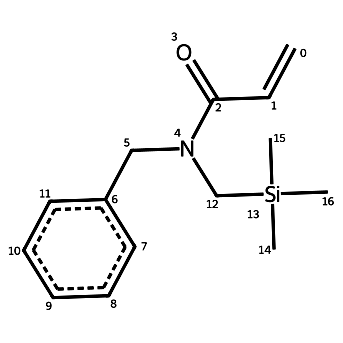 C=CC(=O)N(Cc1ccccc1)C[Si](C)(C)C